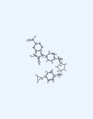 CC(=O)c1ccc2c(c1)n(C)c(=O)n2-c1ccc(N[C@H]2CC[C@H](Nc3ncc(C4CC4)nn3)C2)nc1